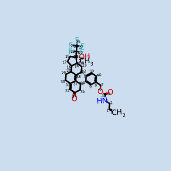 C=CCNC(=O)OCc1ccc([C@H]2C[C@@]3(C)C(CC[C@@]3(O)C(F)(F)C(F)(F)F)C3CCC4=CC(=O)CCC4=C32)cc1